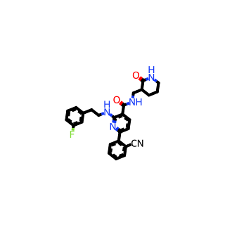 N#Cc1ccccc1-c1ccc(C(=O)NCC2CCCNC2=O)c(NCCc2cccc(F)c2)n1